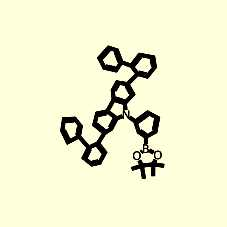 CC1(C)OB(c2cccc(-n3c4cc(-c5ccccc5-c5ccccc5)ccc4c4ccc(-c5ccccc5-c5ccccc5)cc43)c2)OC1(C)C